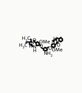 C=CC1=C(/C=C\C)C[C@H]2CNc3cc(OCc4cc(N)cc(COc5cc6c(cc5OC)C(=O)N5c7ccccc7C[C@H]5C=N6)c4)c(OC)cc3C(=O)N12